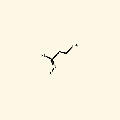 CCCCCC(CC)=NC